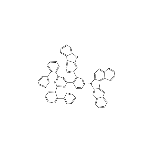 c1ccc(-c2ccccc2-c2nc(-c3ccccc3-c3ccccc3)nc(-c3ccc(-n4c5cc6ccccc6cc5c5c6ccccc6ccc54)cc3-c3ccc4c(c3)oc3ccccc34)n2)cc1